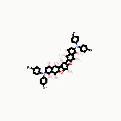 Bc1c2oc3c(B)c4c(B)c(N(c5ccc(C(C)C)cc5)c5ccc(C(C)C)cc5)cc(B)c4c(B)c3c2c(B)c2c1oc1c(B)c3c(B)c(N(c4ccc(C(C)C)cc4)c4ccc(C(C)C)cc4)cc(B)c3c(B)c12